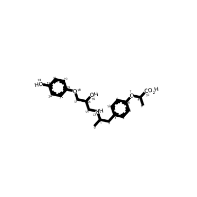 CC(Cc1ccc(OC(C)C(=O)O)cc1)NCC(O)COc1ccc(O)cc1